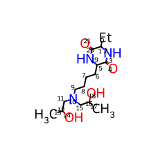 CCC1NC(=O)C(CCCCN(CC(C)O)CC(C)O)NC1=O